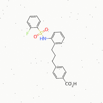 O=C(O)c1ccc(CCCc2ccccc2NS(=O)(=O)c2ccccc2F)cc1